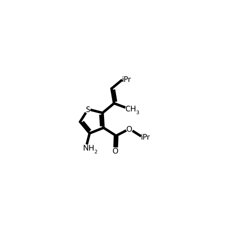 CC(=CC(C)C)c1scc(N)c1C(=O)OC(C)C